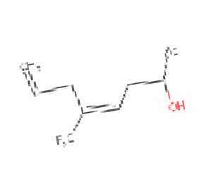 C=CC/C(=C\CC(O)C(C)=O)C(F)(F)F